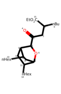 [CH2]CCCC(CC(=O)[C]1OC2CC(CCCCCC)C1CC2CCCCCC)C(=O)OCC